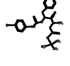 CN(CC(=O)OC(C)(C)C)C(=O)C(Cc1ccccc1)OC(=O)Nc1ccc(Br)cc1